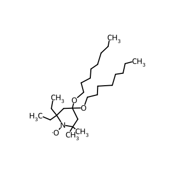 CCCCCCCCOC1(OCCCCCCCC)CC(C)(C)N([O])C(CC)(CC)C1